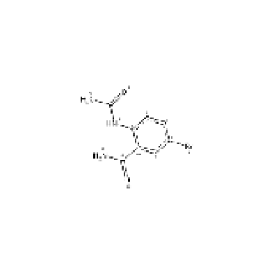 CC(=O)Nc1ccc(Br)cc1C(N)=O